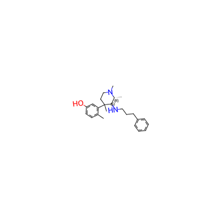 Cc1ccc(O)cc1C1(C)CCN(C)[C@H](C)[C@H]1NCCCc1ccccc1